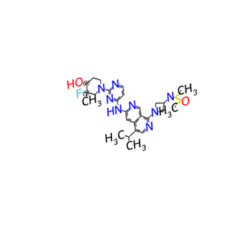 CC(C)c1cnc(N2CC(N=S(C)(C)=O)C2)c2cnc(Nc3ccnc(N4CC[C@@H](O)[C@@](C)(F)C4)n3)cc12